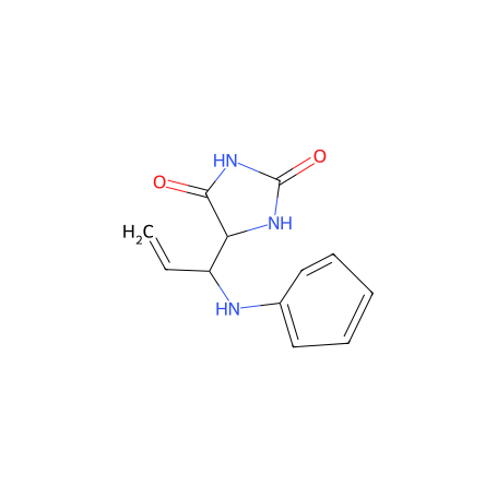 C=CC(Nc1ccccc1)C1NC(=O)NC1=O